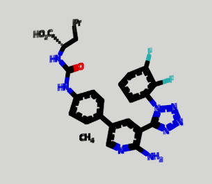 C.CC(C)C[C@H](NC(=O)Nc1ccc(-c2cnc(N)c(-c3nnnn3-c3cccc(F)c3F)c2)cc1)C(=O)O